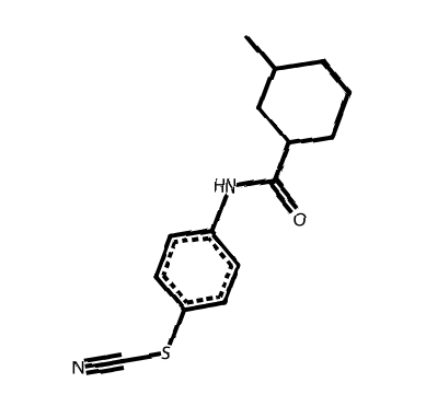 CC1CCCC(C(=O)Nc2ccc(SC#N)cc2)C1